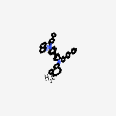 C=C1/C=C\C=C/Cc2cc(-n3c4ccc(-c5ccc(-c6ccccc6)cc5)cc4c4cc(-c5ccc(N(c6ccc(-c7ccccc7)cc6)c6cccc7ccccc67)cc5)ccc43)ccc2-c2ccccc21